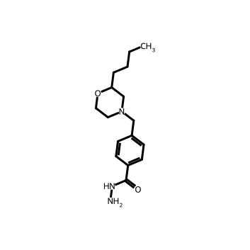 CCCCC1CN(Cc2ccc(C(=O)NN)cc2)CCO1